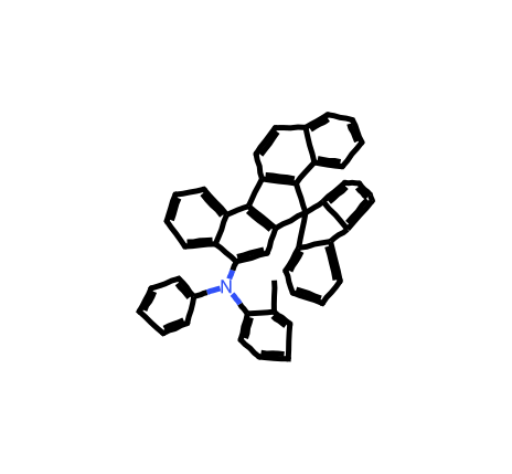 Cc1ccccc1N(c1ccccc1)c1cc2c(c3ccccc13)-c1ccc3ccccc3c1C21c2ccccc2-c2ccccc21